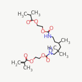 C=C(C)C(=O)OCCOC(=O)NCC(C)(C)CC(C)CCNC(=O)OCCOC(=O)C(C)C